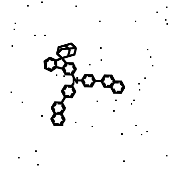 c1ccc2c(c1)-c1cc(N(c3ccc(-c4ccc5ccccc5c4)cc3)c3ccc(-c4ccc5ccccc5c4)cc3)ccc1C21C2CC3CC(C2)CC1C3